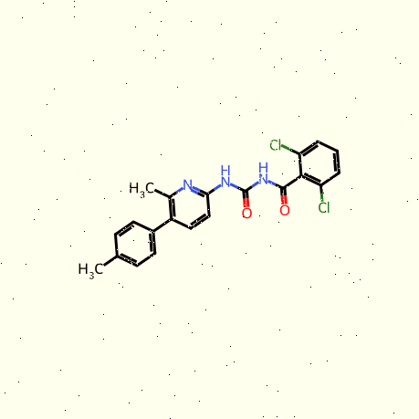 Cc1ccc(-c2ccc(NC(=O)NC(=O)c3c(Cl)cccc3Cl)nc2C)cc1